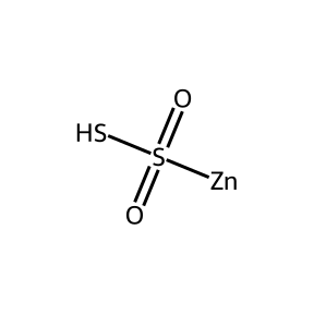 O=[S](=O)(S)[Zn]